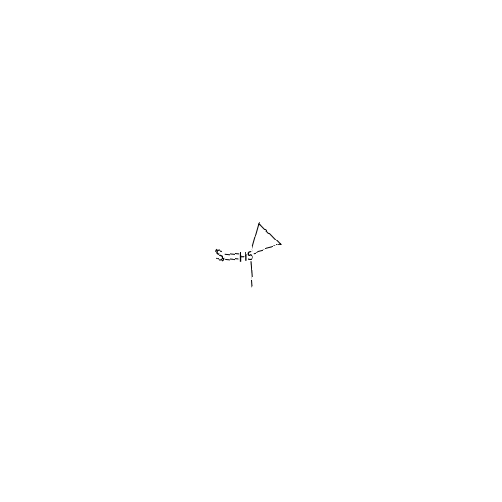 C[SH]1(=S)CC1